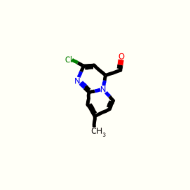 CC1=CC2=NC(Cl)=CC(C=O)N2C=C1